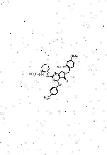 COc1ccc(CN2Cc3nc(N[C@@H]4CCCC[C@@H]4NC(=O)O)nc(Nc4ccc(C)cc4)c3C2=O)c(OC)c1